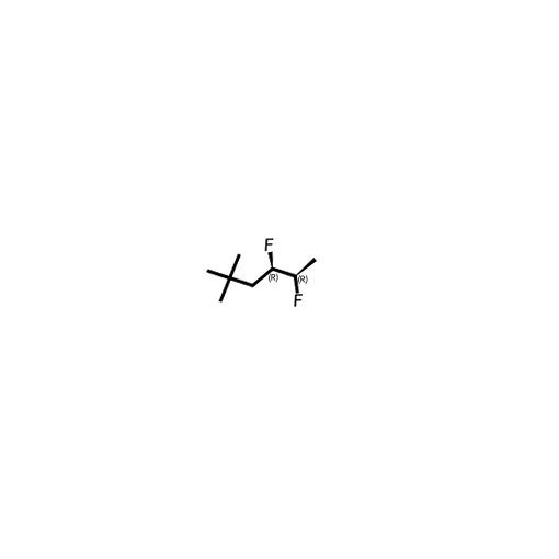 C[C@@H](F)[C@H](F)CC(C)(C)C